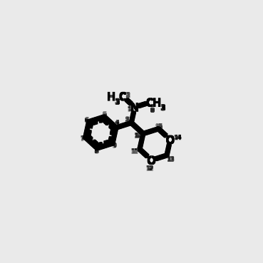 CN(C)C(c1ccccc1)C1COCOC1